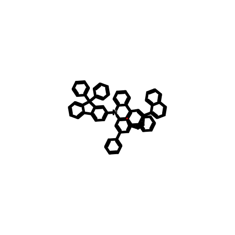 C1#CC(c2cccc3ccccc23)=CC(c2ccccc2N(c2cc(C3=CC=CCC3)cc(-c3ccccc3)c2)c2ccc3c(c2)C(c2ccccc2)(c2ccccc2)c2ccccc2-3)=CC1